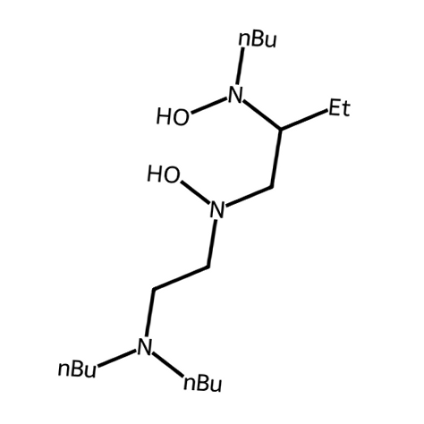 CCCCN(CCCC)CCN(O)CC(CC)N(O)CCCC